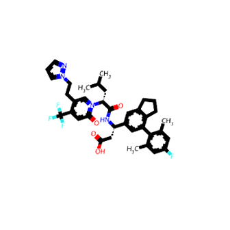 Cc1cc(F)cc(C)c1-c1cc([C@H](CC(=O)O)NC(=O)[C@@H](CC(C)C)n2cc(CCn3cccn3)c(C(F)(F)F)cc2=O)cc2c1CCC2